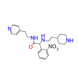 O=C(NCCc1ccncc1)C(NCCC1CCNCC1)c1ccccc1[N+](=O)[O-]